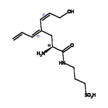 C=C/C=C(\C=C/CO)C[C@H](N)C(=O)NCCCS(=O)(=O)O